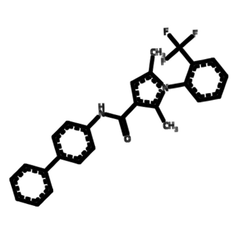 Cc1cc(C(=O)Nc2ccc(-c3ccccc3)cc2)c(C)n1-c1ccccc1C(F)(F)F